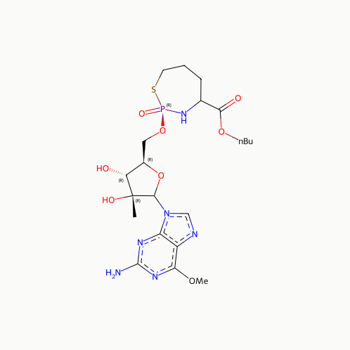 CCCCOC(=O)C1CCCS[P@](=O)(OC[C@H]2OC(n3cnc4c(OC)nc(N)nc43)[C@](C)(O)[C@@H]2O)N1